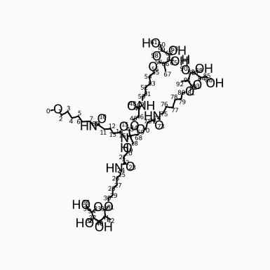 COCCCCCCNC(=O)CCCC(=O)NC(COCCC(=O)NCCCCCCO[C@@H]1OC(CO)[C@H](O)[C@H](O)C1C)(COCCC(=O)NCCCCCCO[C@@H]1OC(CO)[C@H](O)[C@H](O)C1C)COCCC(=O)NCCCCCCO[C@@H]1OC(CO)[C@H](O)[C@H](O)C1C